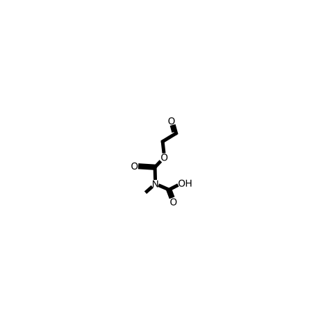 CN(C(=O)O)C(=O)OCC=O